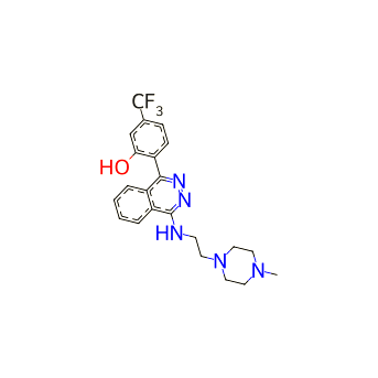 CN1CCN(CCNc2nnc(-c3ccc(C(F)(F)F)cc3O)c3ccccc23)CC1